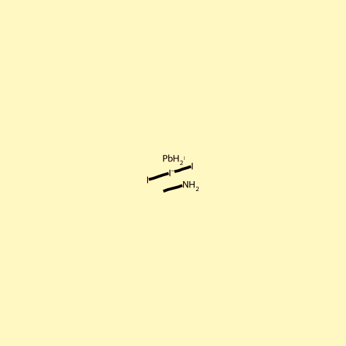 CN.I[I-]I.[PbH2]